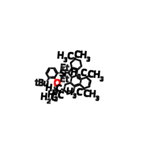 C=CCOc1c(C(C)(C)C)cccc1[Si](CC)(CC)C1C2=C(CCC(C)(C)C2)C2=C3C(=C4CCC(C)(C)CC4C21)C(C)(C)C=CC3(C)C